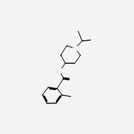 Cc1ccccc1C(=O)NC1CCN(C(C)C)CC1